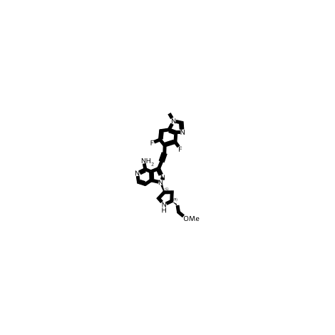 COCC[C@H]1C[C@H](n2nc(C#Cc3c(F)cc4c(ncn4C)c3F)c3c(N)nccc32)CN1